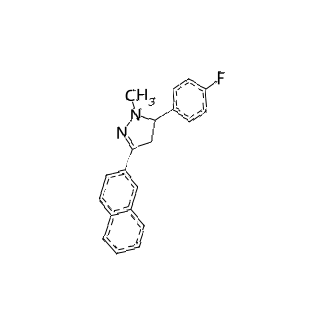 CN1N=C(c2ccc3ccccc3c2)CC1c1ccc(F)cc1